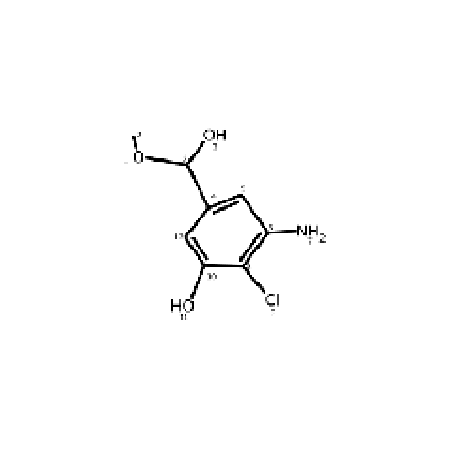 COC(O)c1cc(N)c(Cl)c(O)c1